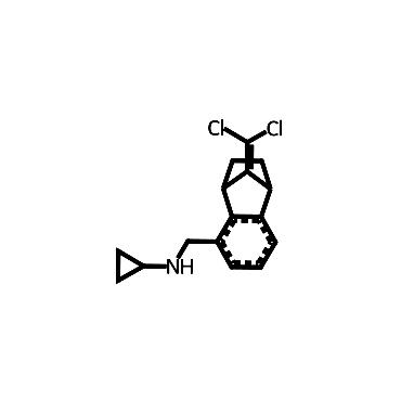 ClC(Cl)=C1C2CCC1c1c(CNC3CC3)cccc12